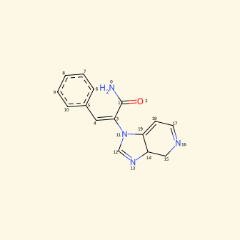 NC(=O)C(=Cc1ccccc1)N1C=NC2CN=CC=C21